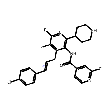 O=C(Nc1c(C2CCNCC2)nc(F)c(F)c1C/C=C/c1ccc(Cl)cc1)c1ccnc(Cl)c1